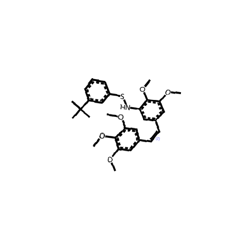 COc1cc(/C=C\c2cc(OC)c(OC)c(OC)c2)cc(NSc2cccc(C(C)(C)C)c2)c1OC